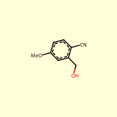 COc1ccc(C#N)c([CH]O)c1